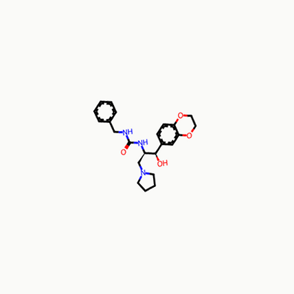 O=C(NCc1ccccc1)N[C@H](CN1CCCC1)[C@H](O)c1ccc2c(c1)OCCO2